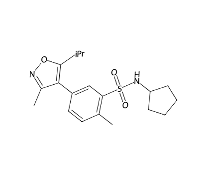 Cc1ccc(-c2c(C)noc2C(C)C)cc1S(=O)(=O)NC1CCCC1